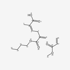 C=C(CC=C(C)C(=O)O)C(=O)OCCCC.C=CC(=O)OC